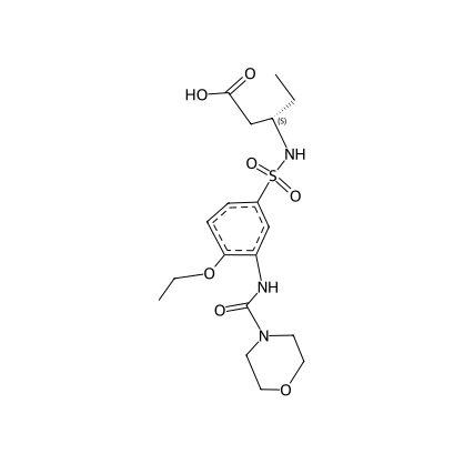 CCOc1ccc(S(=O)(=O)N[C@@H](CC)CC(=O)O)cc1NC(=O)N1CCOCC1